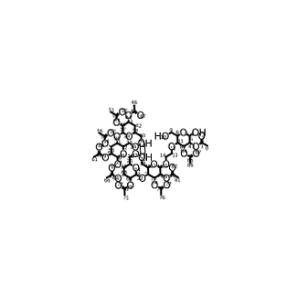 CC(=O)OC1C(O)OC(CO)C(OCCOC2OC(CO)[C@H](OC3OC(CO)[C@@H](OC4OC(CO)[C@@H](OC5OC(CO)C[C@@H](OC(C)=O)C5OC(C)=O)[C@@H](OC(C)=O)C4OC(C)=O)[C@@H](OC(C)=O)C3OC(C)=O)[C@@H](OC(C)=O)C2OC(C)=O)[C@H]1OC(C)=O